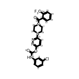 O=C(Nc1cccc(Cl)c1)Oc1ccc(N2CCN(C(=O)c3ccccc3C(F)(F)F)CC2)nn1